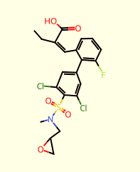 CCC(=Cc1cccc(F)c1-c1cc(Cl)c(S(=O)(=O)N(C)CC2CO2)c(Cl)c1)C(=O)O